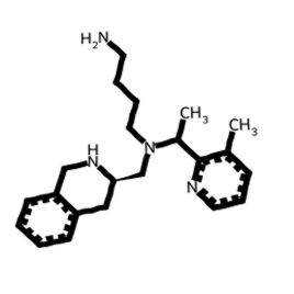 Cc1cccnc1C(C)N(CCCCN)C[C@H]1Cc2ccccc2CN1